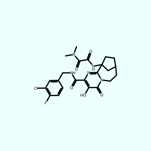 CN(C)C(=O)C(=O)NC12CCC(CCn3c1nc(C(=O)NCc1ccc(F)c(Cl)c1)c(O)c3=O)C2